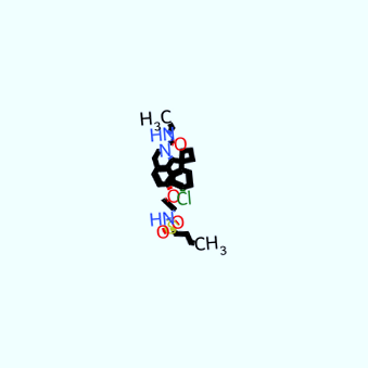 CCCCS(=O)(=O)NCCOc1ccc2c(c1)C(C1(c3ccc(Cl)cc3)CCC1)N(C(=O)NCC)CC2